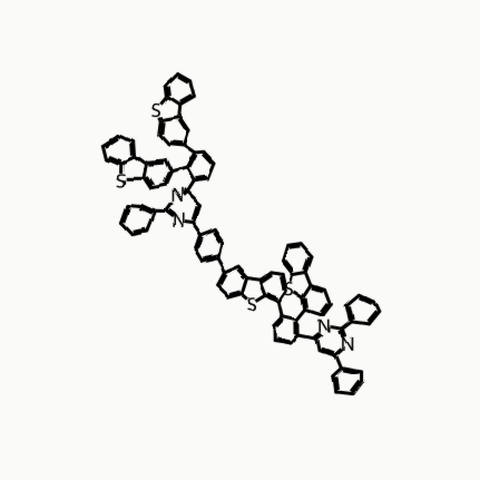 c1ccc(-c2cc(-c3cccc(-c4cccc5c4sc4ccc(-c6ccc(-c7cc(-c8cccc(-c9ccc%10sc%11ccccc%11c%10c9)c8-c8ccc9sc%10ccccc%10c9c8)nc(-c8ccccc8)n7)cc6)cc45)c3-c3cccc4c3sc3ccccc34)nc(-c3ccccc3)n2)cc1